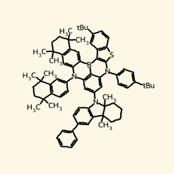 CC(C)(C)c1ccc(N2c3cc(N4c5ccc(-c6ccccc6)cc5C5(C)CCCCC45C)cc4c3B(c3cc5c(cc3N4c3ccc4c(c3)C(C)(C)CCC4(C)C)C(C)(C)CCC5(C)C)c3c2sc2ccc(C(C)(C)C)cc32)cc1